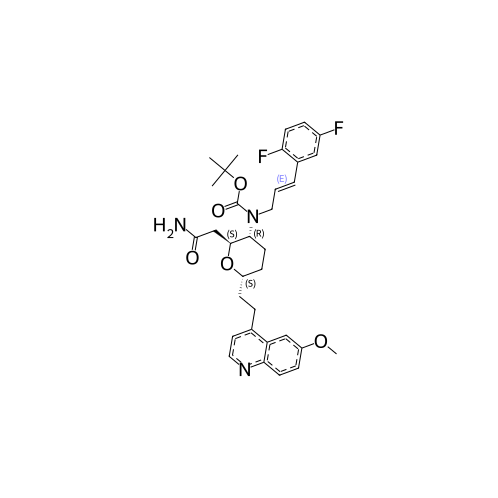 COc1ccc2nccc(CC[C@H]3CC[C@@H](N(C/C=C/c4cc(F)ccc4F)C(=O)OC(C)(C)C)[C@H](CC(N)=O)O3)c2c1